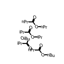 CC(C)COC(=O)C(C)C.CC(C)OC(=O)C(C)C.CCCCOC(=O)CCC.CCCOC(=O)CCC